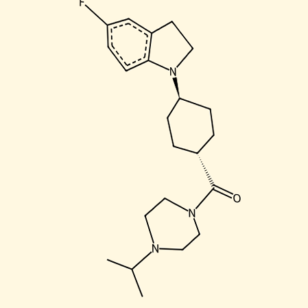 CC(C)N1CCN(C(=O)[C@H]2CC[C@H](N3CCc4cc(F)ccc43)CC2)CC1